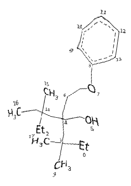 CCC(C)(C)C(O)(COc1ccccc1)C(C)(C)CC